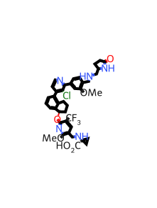 COc1cc(-c2nccc(-c3cccc4c3CCC[C@H]4Oc3nc(OC)c(CNC4(C(=O)O)CC4)cc3C(F)(F)F)c2Cl)ccc1CNCC1CCC(=O)N1